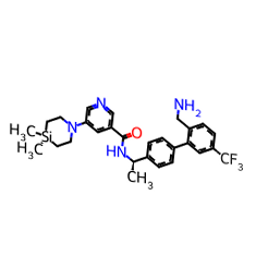 C[C@@H](NC(=O)c1cncc(N2CC[Si](C)(C)CC2)c1)c1ccc(-c2cc(C(F)(F)F)ccc2CN)cc1